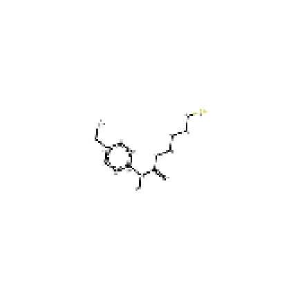 C=C(CCCCCS)C(C)c1ccc(CC(C)C)cc1